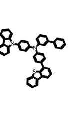 c1ccc(-c2cccc(N(c3ccc(-c4cccc5c4sc4ccccc45)cc3)c3ccc(-n4c5ccccc5c5ccccc54)cc3)c2)cc1